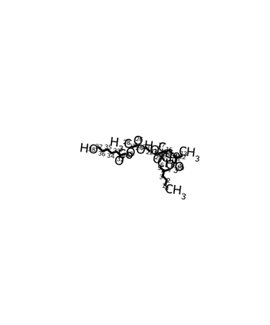 CCCCC(CC)COC(=O)[CH](CC)[Co][CH2]C(C)(C)C(=O)OCCOC(=O)C(C)[O][Co][C](=O)CCCCCO